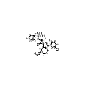 CN1CCCn2c(-c3cc(Cl)ccc3F)nc(C(=O)N[C@H](CN3CCCC3=O)C(C)(C)C)c2C1